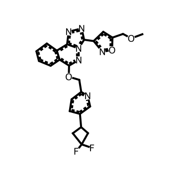 COCc1cc(-c2nnc3c4ccccc4c(OCc4ccc(C5CC(F)(F)C5)cn4)nn23)no1